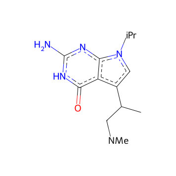 CNCC(C)c1cn(C(C)C)c2nc(N)[nH]c(=O)c12